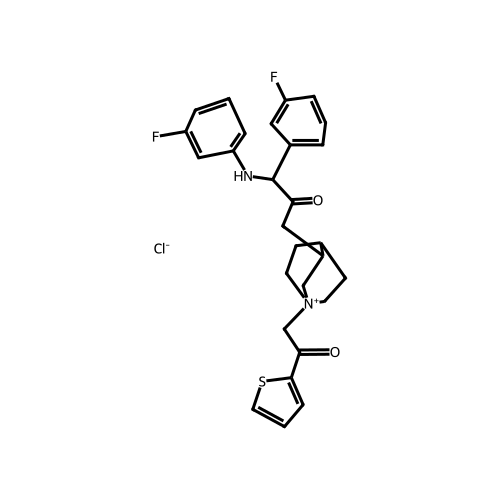 O=C(C[N+]12CCC(CC1)C(CC(=O)C(Nc1cccc(F)c1)c1cccc(F)c1)C2)c1cccs1.[Cl-]